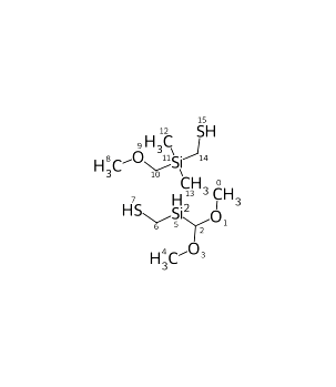 COC(OC)[SiH2]CS.COC[Si](C)(C)CS